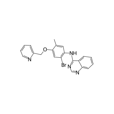 Cc1cc(Nc2ncnc3ccccc23)c(Br)cc1OCc1ccccn1